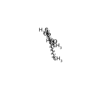 CCC(=O)O.CCCCCCCCCCCCCSOC(=O)CC